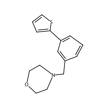 c1cc(CN2CCOCC2)cc(-c2cccs2)c1